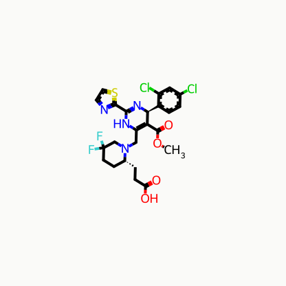 COC(=O)C1=C(CN2CC(F)(F)CC[C@H]2CCC(=O)O)NC(c2nccs2)=N[C@H]1c1ccc(Cl)cc1Cl